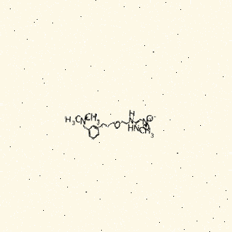 CNC(=C[N+](=O)[O-])NCCOCCCc1cccc(CN(C)C)c1